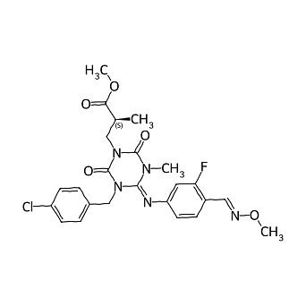 CON=Cc1ccc(N=c2n(C)c(=O)n(C[C@H](C)C(=O)OC)c(=O)n2Cc2ccc(Cl)cc2)cc1F